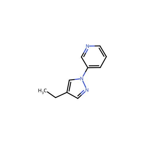 CCc1cnn(-c2cccnc2)c1